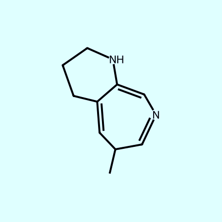 CC1C=NC=C2NCCCC2=C1